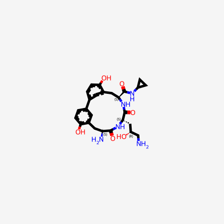 NC[C@H](O)C[C@@H]1NC(=O)[C@@H](N)Cc2cc(ccc2O)-c2ccc(O)c(c2)C[C@@H](C(=O)NC2CC2)NC1=O